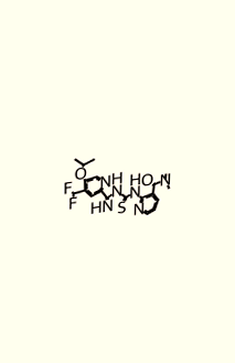 CC(C)Oc1cnc(C(=N)NC(=S)Nc2ncccc2C(=O)N(C)C)cc1C(F)F